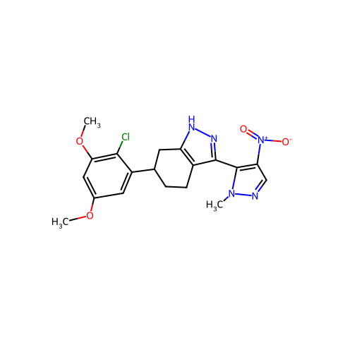 COc1cc(OC)c(Cl)c(C2CCc3c(-c4c([N+](=O)[O-])cnn4C)n[nH]c3C2)c1